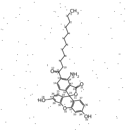 CCCCCCCCCCCC(=O)c1ccc2c(c1N)C(=O)OC21c2ccc(O)cc2Oc2cc(O)ccc21